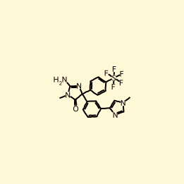 CN1C(=O)C(c2ccc(S(F)(F)(F)(F)F)cc2)(c2cccc(-c3cn(C)cn3)c2)N=C1N